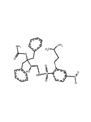 CC(C)CCc1cc([N+](=O)[O-])ccc1S(=O)(=O)NC[C@@H](O)C(Cc1ccccc1)(Cc1ccccc1)OC(N)=O